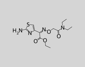 CCOC(=O)C(=NOCC(=O)N(CC)CC)c1csc(N)n1